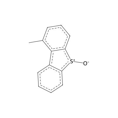 Cc1cccc2c1c1ccccc1[s+]2[O-]